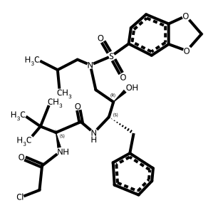 CC(C)CN(C[C@@H](O)[C@H](Cc1ccccc1)NC(=O)[C@@H](NC(=O)CCl)C(C)(C)C)S(=O)(=O)c1ccc2c(c1)OCO2